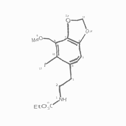 CCOC(=O)NCCc1cc2c(c(OC)c1I)OCO2